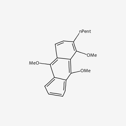 CCCCCc1ccc2c(OC)c3ccccc3c(OC)c2c1OC